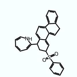 O=S(=O)(c1ccccc1)C1C=c2c(ccc3c2=CCc2ccccc2-3)C(C2=CC=CC=CN2)C1